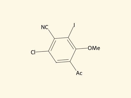 COc1c(C(C)=O)cc(Cl)c(C#N)c1I